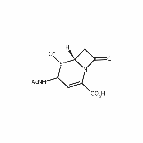 CC(=O)NC1C=C(C(=O)O)N2C(=O)C[C@H]2[S+]1[O-]